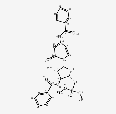 CCOP(=O)(C[C@H]1O[C@@H](n2ccc(NC(=O)c3ccccc3)nc2=O)[C@@H](F)[C@@H]1OC(=O)c1ccccc1)OCC